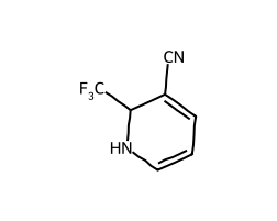 N#CC1=CC=CNC1C(F)(F)F